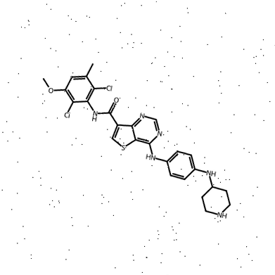 COc1cc(C)c(Cl)c(NC(=O)c2csc3c(Nc4ccc(NC5CCNCC5)cc4)ncnc23)c1Cl